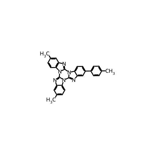 Cc1ccc(-c2ccc3c(c2)nc2n4c5ccc(C)cc5nc4n4c5ccc(C)cc5nc4n32)cc1